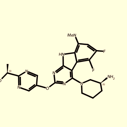 CNc1cc(F)c(F)c2c1[nH]c1nc(Oc3cnc([C@H](C)O)nc3)nc(N3CCC[C@H](N)C3)c12